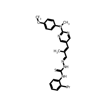 CC(/C=N/NC(=S)Nc1ccccc1C(C)C)=C\c1cnc(N(C)c2ccc(OC(F)(F)F)cc2)nc1